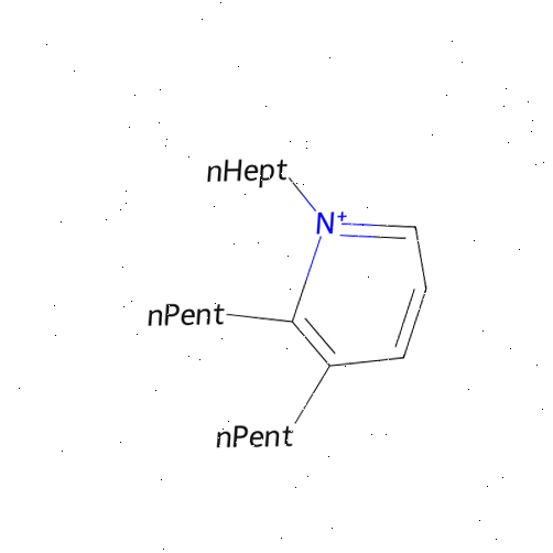 CCCCCCC[n+]1cccc(CCCCC)c1CCCCC